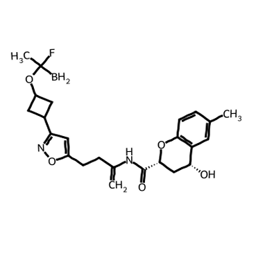 BC(C)(F)OC1CC(c2cc(CCC(=C)NC(=O)[C@H]3C[C@@H](O)c4cc(C)ccc4O3)on2)C1